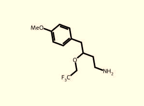 COc1ccc(CC(CCN)OCC(F)(F)F)cc1